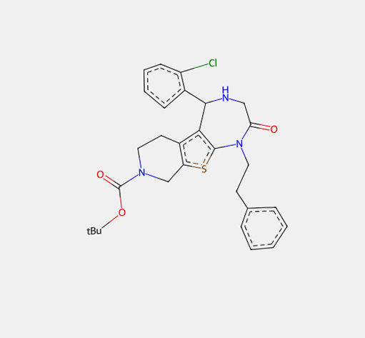 CC(C)(C)OC(=O)N1CCc2c(sc3c2C(c2ccccc2Cl)NCC(=O)N3CCc2ccccc2)C1